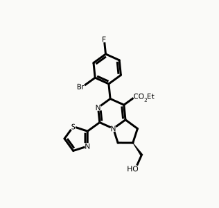 CCOC(=O)C1=C2C[C@@H](CO)CN2C(c2nccs2)=NC1c1ccc(F)cc1Br